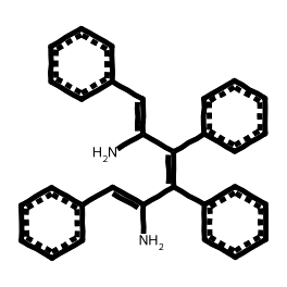 NC(=Cc1ccccc1)C(=C(C(N)=Cc1ccccc1)c1ccccc1)c1ccccc1